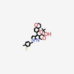 Cc1ccc(Cn2ccc3c(-c4ccc5c(c4)CCCO5)c(C(OC(C)(C)C)C(=O)O)c(C)nc32)cc1F